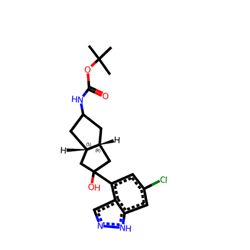 CC(C)(C)OC(=O)NC1C[C@@H]2CC(O)(c3cc(Cl)cc4[nH]ncc34)C[C@@H]2C1